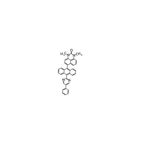 CN1C(=O)N(C)c2ccc(-c3c4ccccc4c(-c4ncc(-c5ccccc5)cn4)c4ccccc34)c3cccc1c23